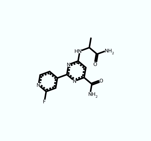 CC(Nc1cc(C(N)=O)nc(-c2ccnc(F)c2)n1)C(N)=O